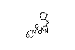 O=C(On1cc(Sc2ccccc2)cn1)N1CCOCC1